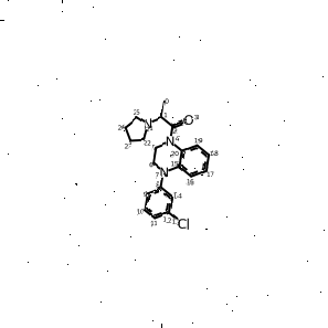 CC(C(=O)N1CCN(c2cccc(Cl)c2)c2ccccc21)N1CCCC1